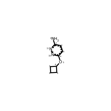 Nc1ccc(OC2CCC2)nn1